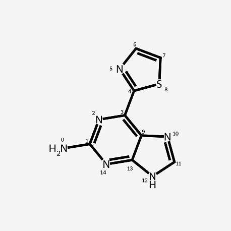 Nc1nc(-c2nccs2)c2nc[nH]c2n1